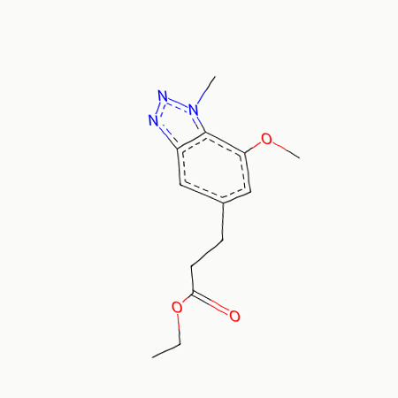 CCOC(=O)CCc1cc(OC)c2c(c1)nnn2C